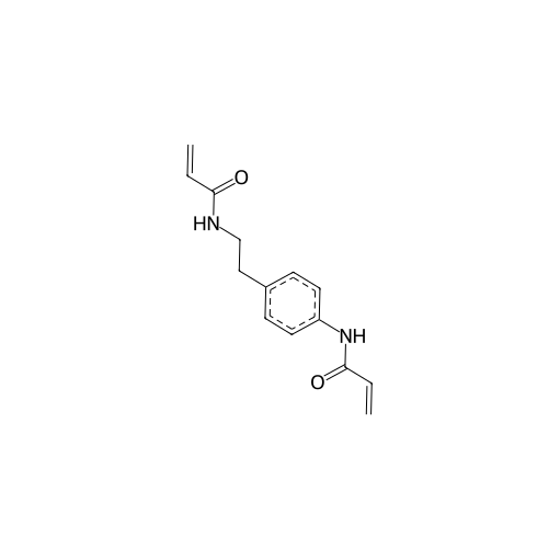 C=CC(=O)NCCc1ccc(NC(=O)C=C)cc1